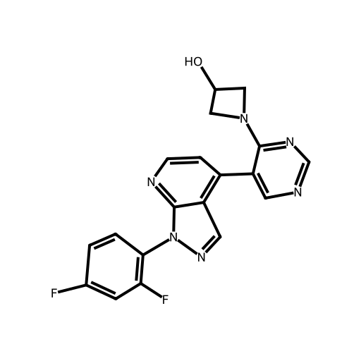 OC1CN(c2ncncc2-c2ccnc3c2cnn3-c2ccc(F)cc2F)C1